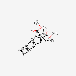 CCC1(C(=O)OC)C2CC(C3C4CC(C5C6C=CC(C6)C45)C32)C1(CC)C(=O)OC